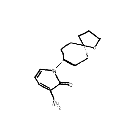 Nc1cccn([C@H]2CC[C@@]3(CCCO3)CC2)c1=O